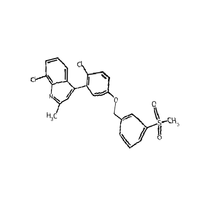 Cc1cc(-c2cc(OCc3cccc(S(C)(=O)=O)c3)ccc2Cl)c2cccc(Cl)c2n1